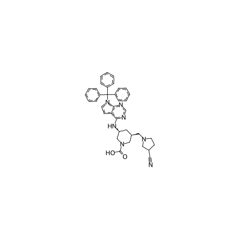 N#CC1CCN(C[C@@H]2C[C@H](Nc3ncnc4c3ccn4C(c3ccccc3)(c3ccccc3)c3ccccc3)CN(C(=O)O)C2)C1